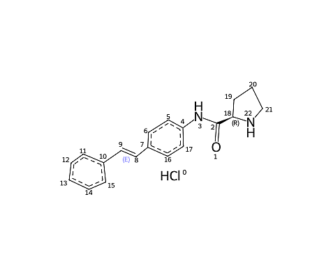 Cl.O=C(Nc1ccc(/C=C/c2ccccc2)cc1)[C@H]1CCCN1